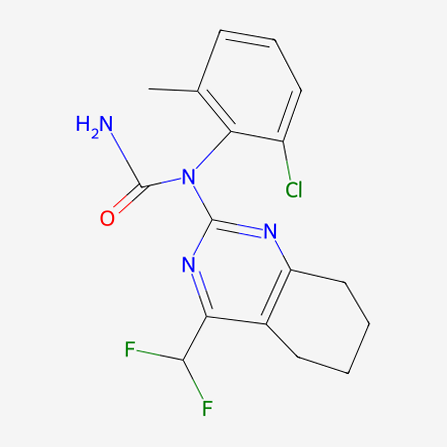 Cc1cccc(Cl)c1N(C(N)=O)c1nc2c(c(C(F)F)n1)CCCC2